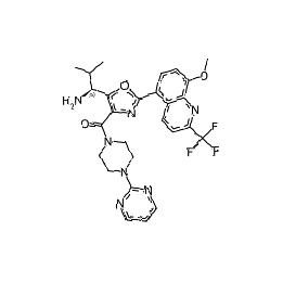 COc1ccc(-c2nc(C(=O)N3CCN(c4ncccn4)CC3)c([C@@H](N)C(C)C)o2)c2ccc(C(F)(F)F)nc12